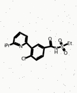 CCS(=O)(=O)NC(=O)c1ccc(Cl)c(-c2cccc(C(C)C)n2)c1